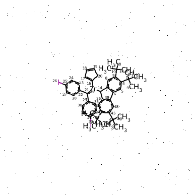 CC(C)(C)c1cc2c(cc1C(C)(C)C)[CH]([Zr]([C]1=CC=CC1)=[C](c1ccc(I)cc1)c1ccc(I)cc1)c1cc(C(C)(C)C)c(C(C)(C)C)cc1-2